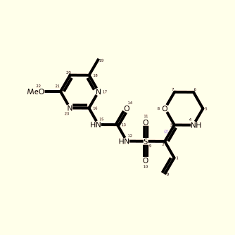 C=C/C(=C1\NCCCO1)S(=O)(=O)NC(=O)Nc1nc(C)cc(OC)n1